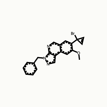 COc1cc2c(cnc3c2cnn3Cc2ccccc2)cc1C1(Br)C=C1